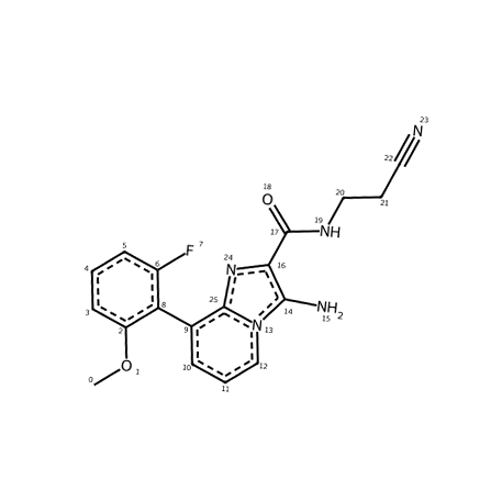 COc1cccc(F)c1-c1cccn2c(N)c(C(=O)NCCC#N)nc12